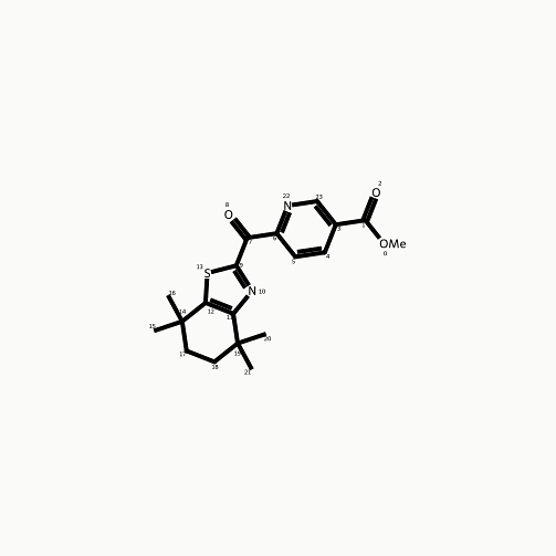 COC(=O)c1ccc(C(=O)c2nc3c(s2)C(C)(C)CCC3(C)C)nc1